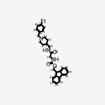 CCc1ccc(CN2CCC(CNC(=O)CNC(=O)OCC3c4ccccc4-c4ccccc43)CC2)cc1